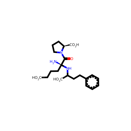 N[C@](CCCC(=O)O)(NC(CCc1ccccc1)C(=O)O)C(=O)N1CCC[C@H]1C(=O)O